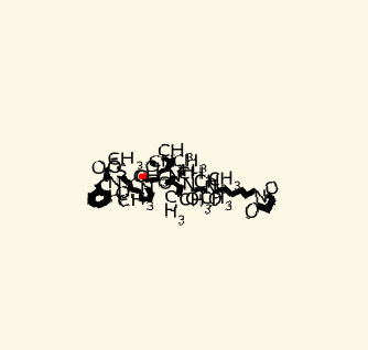 CC[C@H](C)[C@@H]([C@@H](CC(=O)N1CCC[C@H]1[C@H](OC)[C@@H](C)C(=S)N[C@@H](Cc1ccccc1)C(=O)OC)OC)N(C)C(=O)[C@@H](NC(=O)C(C)(C)N(C)C(=O)CCCCCN1C(=O)C=CC1=O)C(C)C